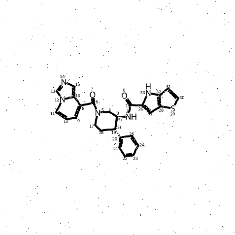 O=C(N[C@@H]1CN(C(=O)c2cccn3cncc23)CC[C@H]1c1ccccc1)c1cc2sccc2[nH]1